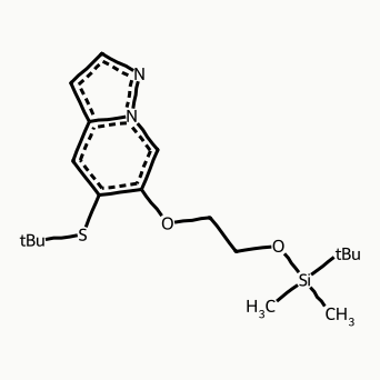 CC(C)(C)Sc1cc2ccnn2cc1OCCO[Si](C)(C)C(C)(C)C